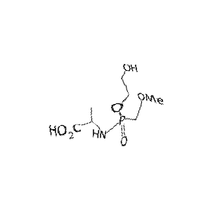 COCP(=O)(NC(C)C(=O)O)OCCO